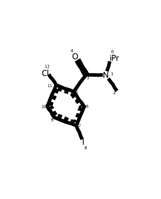 CC(C)N(C)C(=O)c1cc(I)ccc1Cl